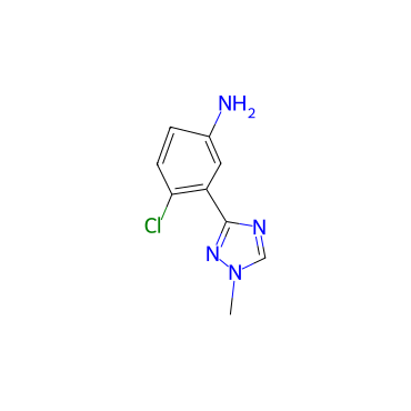 Cn1cnc(-c2cc(N)ccc2Cl)n1